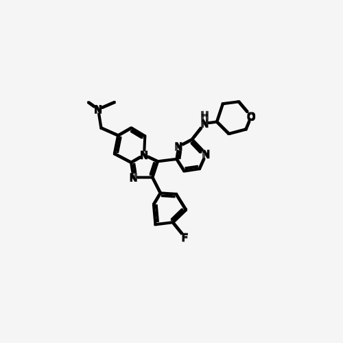 CN(C)Cc1ccn2c(-c3ccnc(NC4CCOCC4)n3)c(-c3ccc(F)cc3)nc2c1